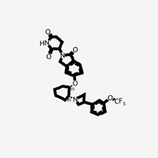 O=C1CCC(N2Cc3cc(O[C@H]4CCCC[C@H]4N4CC(c5cccc(OC(F)(F)F)c5)C4)ccc3C2=O)C(=O)N1